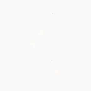 CCCCCc1ccc(OCC(F)(F)Oc2ccc(-c3ccc(OCC)c(F)c3F)cc2)cc1